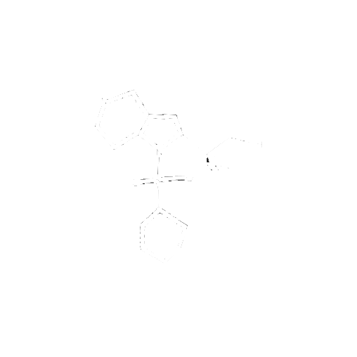 CN[C@H](CO)c1cc2cnccc2n1S(=O)(=O)c1ccccc1